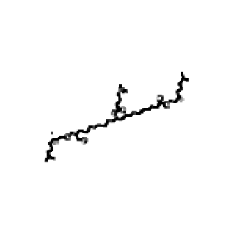 CC(C)CCC[C@H](C)CCOCC(C=O)CCCCCCCCC(CCCCCCCCCC(=O)OCC[C@@H](C)CCCC(C)C)OC(=O)CCCN(C)C